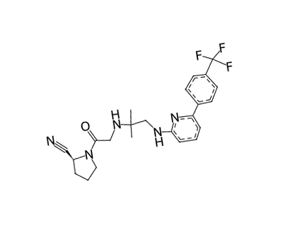 CC(C)(CNc1cccc(-c2ccc(C(F)(F)F)cc2)n1)NCC(=O)N1CCC[C@H]1C#N